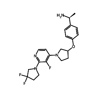 C[C@H](N)c1ccc(OC2CCN(c3ccnc(N4CCC(F)(F)C4)c3F)C2)cc1